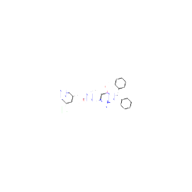 Cc1nc2c(c(=O)n1C(c1ccccc1)c1ccccc1)CCN(C(=O)Cc1cncc(Br)c1)C2